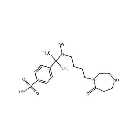 CCCN(CCCCN1CCNCCC1=O)C(C)(C)c1ccc(S(=O)(=O)CCC)cc1